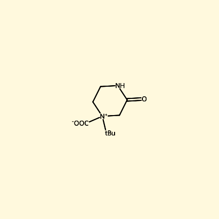 CC(C)(C)[N+]1(C(=O)[O-])CCNC(=O)C1